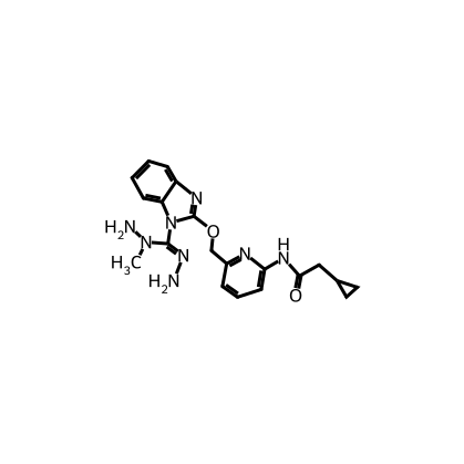 CN(N)/C(=N\N)n1c(OCc2cccc(NC(=O)CC3CC3)n2)nc2ccccc21